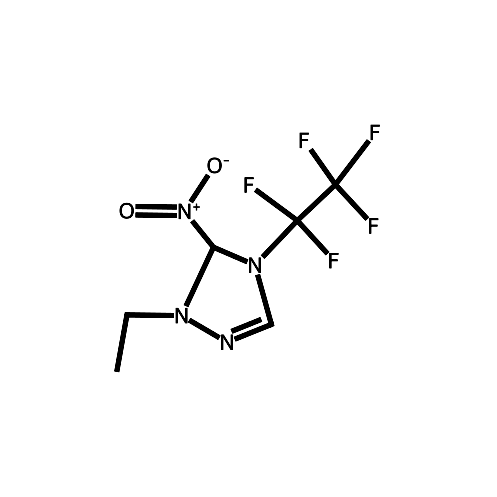 CCN1N=CN(C(F)(F)C(F)(F)F)C1[N+](=O)[O-]